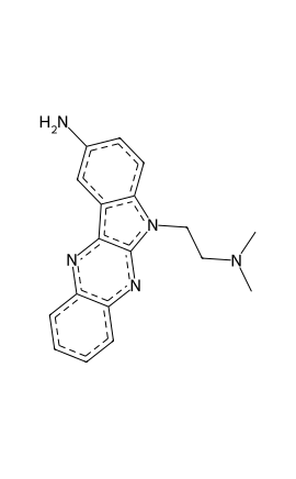 CN(C)CCn1c2ccc(N)cc2c2nc3ccccc3nc21